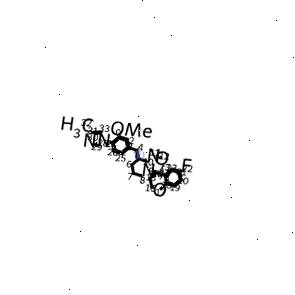 COc1cc(/C=C2\CCCN3C2=NOC[C@]32CCOc3ccc(F)cc32)ccc1-n1cnc(C)c1